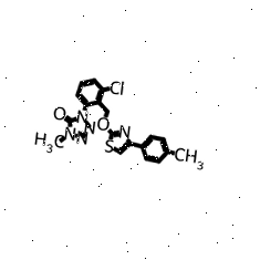 Cc1ccc(-c2csc(OCc3c(Cl)cccc3-n3nnn(C)c3=O)n2)cc1